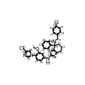 COc1cc(Nc2nc3c(s2)CCCC3(NCc2ccc(Cl)cc2)c2ccccc2)ccc1-n1cnc(Cl)c1